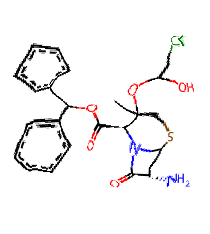 CC1(OC(O)CCl)CSC2[C@H](N)C(=O)N2[C@H]1C(=O)OC(c1ccccc1)c1ccccc1